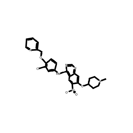 CN1CCC(Oc2cc3ncnc(Nc4ccc(OCc5ccccn5)c(Cl)c4)c3cc2[N+](=O)[O-])CC1